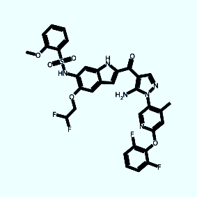 COc1ccccc1S(=O)(=O)Nc1cc2[nH]c(C(=O)c3cnn(-c4cnc(Oc5c(F)cccc5F)cc4C)c3N)cc2cc1OCC(F)F